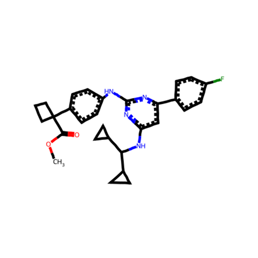 COC(=O)C1(c2ccc(Nc3nc(NC(C4CC4)C4CC4)cc(-c4ccc(F)cc4)n3)cc2)CCC1